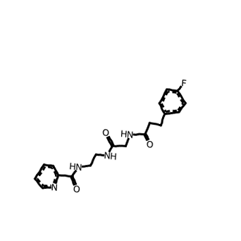 O=C(CCc1ccc(F)cc1)NCC(=O)NCCNC(=O)c1ccccn1